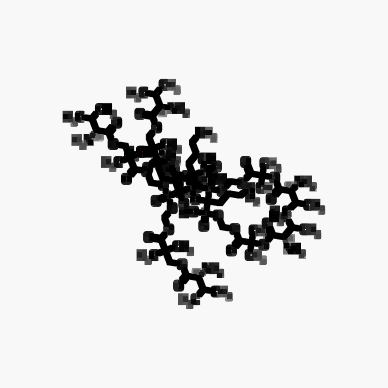 CC(C)[C@H](N)C(=O)OC(C)(C)C(=O)OCOP(=O)(O)C(CCCN)(OP(=O)(OCOC(=O)C(C)(C)COC(=O)[C@H](N)C(C)C)C(O)(CCCN)P(=O)(OCOC(=O)C(C)(C)COC(=O)[C@H](N)C(C)C)OCOC(=O)C(C)(C)COC(=O)[C@H](N)C(C)C)P(=O)(OCOC(=O)C(C)(C)OC(=O)[C@@H](N)C(C)C)OC(CCCN)(P(=O)(O)O)P(=O)(O)O